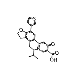 CC(C)C1Cc2c(cc(-c3ccsc3)c3c2CCO3)-c2cc(=O)c(C(=O)O)cn21